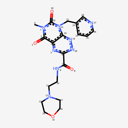 Cn1c(=O)c2nc(C(=O)NCCN3CCOCC3)nnc2n(Cc2cccnc2)c1=O